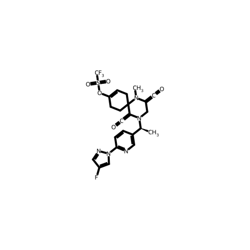 C[C@@H](c1ccc(-n2cc(F)cn2)nc1)N1CC(=C=O)N(C)C2(CC=C(OS(=O)(=O)C(F)(F)F)CC2)C1=C=O